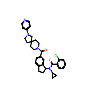 O=C(c1ccc2c(c1)C(N(C(=O)c1ccccc1Cl)C1CC1)CC2)N1CCC2(CC1)CCN(c1ccncc1)C2